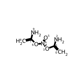 C=C(N)O[N+](=O)OC(=C)N